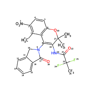 Cc1c([N+](=O)[O-])ccc2c1C(N1Cc3ccccc3C1=O)=C(NC(=O)C(F)(F)C(F)(F)F)C(C)(C)O2